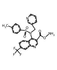 Cc1ccc(S(=O)(=O)N(Cc2cccnc2)c2c(C(=O)ON)cnc3cc(C(F)(F)F)ccc23)cc1